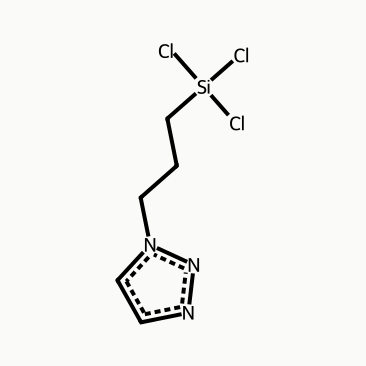 Cl[Si](Cl)(Cl)CCCn1ccnn1